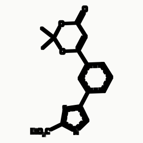 CCOC(=O)c1ncc(-c2cccc(C3=CC(=O)OC(C)(C)O3)c2)s1